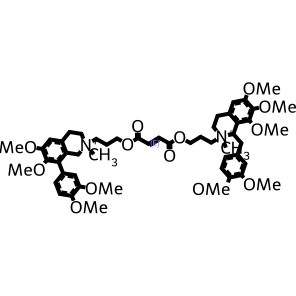 COc1ccc(CC2c3c(cc(OC)c(OC)c3OC)CC[N+]2(C)CCCOC(=O)/C=C/C(=O)OCCC[N+]2(C)CCc3cc(OC)c(OC)c(-c4ccc(OC)c(OC)c4)c3C2)cc1OC